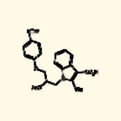 CCCCCCCCc1ccc(OCC(Cn2c(C(C)(C)C)c(C(=O)O)c3ccccc32)OC(C)=O)cc1